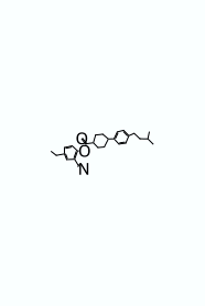 CCc1ccc(OC(=O)C2CCC(c3ccc(CCC(C)C)cc3)CC2)c(C#N)c1